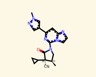 C[C@@H]1CN(c2nc(-c3cnn(C)c3)cc3nccn23)C(=O)[C@]1(C#N)C1CC1